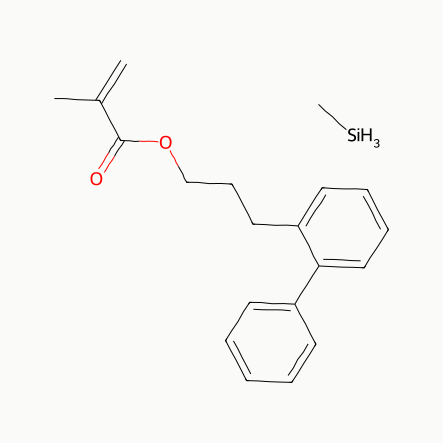 C=C(C)C(=O)OCCCc1ccccc1-c1ccccc1.C[SiH3]